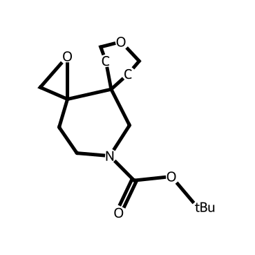 CC(C)(C)OC(=O)N1CCC2(CO2)C2(CCOCC2)C1